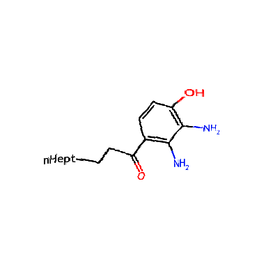 CCCCCCCCCC(=O)c1ccc(O)c(N)c1N